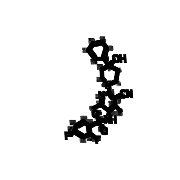 Cc1nc(N2CCC(O)(c3ccccc3)CC2)c(C#N)c(C)c1NS(=O)(=O)c1ccc(F)cc1F